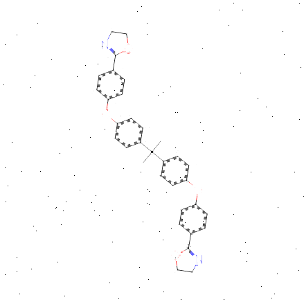 CC(C)(c1ccc(Oc2ccc(C3=NCCO3)cc2)cc1)c1ccc(Oc2ccc(C3=NCCO3)cc2)cc1